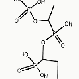 CCC(OP(=O)(O)C(C)OP(=O)(O)O)P(=O)(O)O